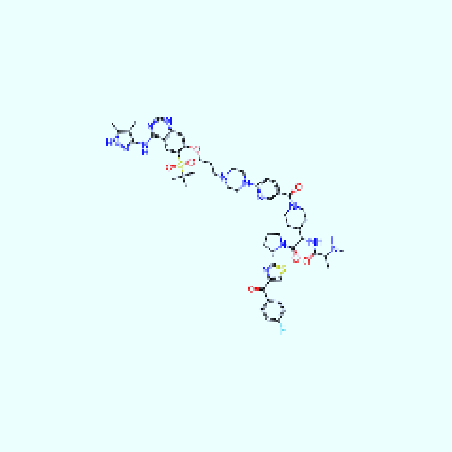 CNC(C)C(=O)NC(C(=O)N1CCC[C@H]1c1nc(C(=O)c2ccc(F)cc2)cs1)C1CCN(C(=O)c2ccc(N3CCN(CCCOc4cc5ncnc(Nc6n[nH]c(C)c6C)c5cc4S(=O)(=O)C(C)(C)C)CC3)nc2)CC1